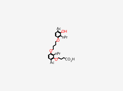 CCCc1c(OCCCCOc2ccc(C(C)=O)c(OCCCC(=O)O)c2CCC)ccc(C(C)=O)c1O